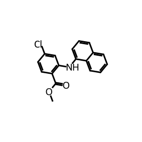 COC(=O)c1ccc(Cl)cc1Nc1cccc2ccccc12